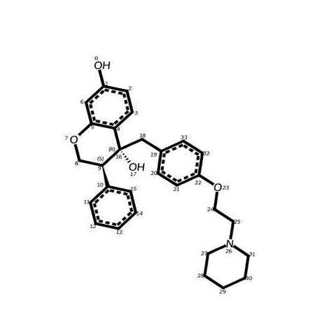 Oc1ccc2c(c1)OC[C@H](c1ccccc1)[C@]2(O)Cc1ccc(OCCN2CCCCC2)cc1